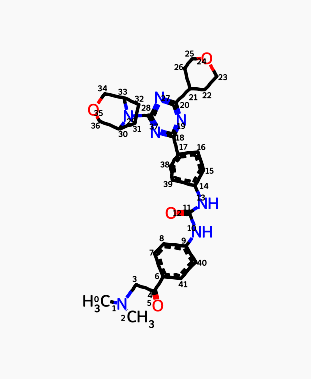 CN(C)CC(=O)c1ccc(NC(=O)Nc2ccc(-c3nc(C4CCOCC4)nc(N4C5CCC4COC5)n3)cc2)cc1